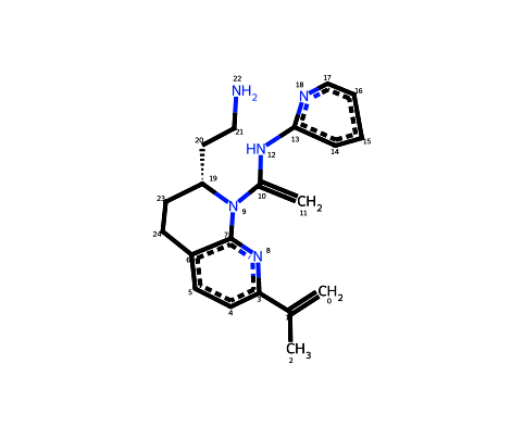 C=C(C)c1ccc2c(n1)N(C(=C)Nc1ccccn1)[C@@H](CCN)CC2